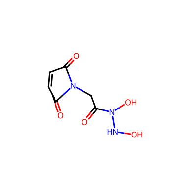 O=C(CN1C(=O)C=CC1=O)N(O)NO